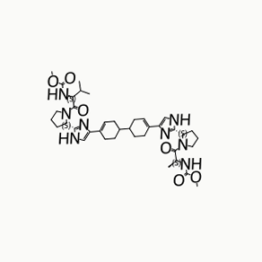 COC(=O)N[C@@H](C)C(=O)N1CCC[C@H]1c1nc(C2=CCC(C3CC=C(c4c[nH]c([C@@H]5CCCN5C(=O)[C@@H](NC(=O)OC)C(C)C)n4)CC3)CC2)c[nH]1